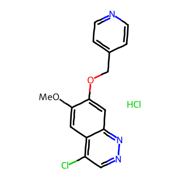 COc1cc2c(Cl)cnnc2cc1OCc1ccncc1.Cl